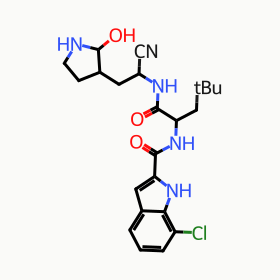 CC(C)(C)CC(NC(=O)c1cc2cccc(Cl)c2[nH]1)C(=O)NC(C#N)CC1CCNC1O